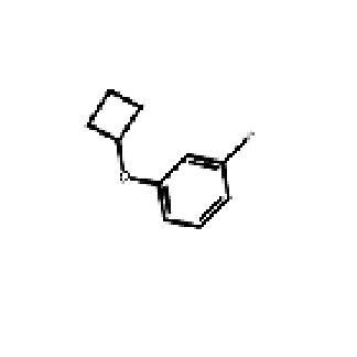 Fc1cccc(OC2[CH]CC2)c1